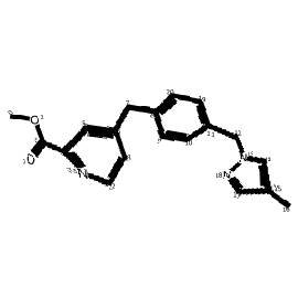 COC(=O)c1cc(Cc2ccc(Cn3cc(C)cn3)cc2)ccn1